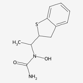 CC(C1Cc2ccccc2S1)N(O)C(N)=O